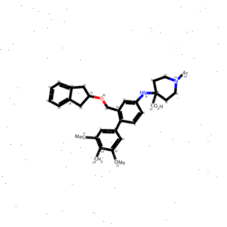 COc1cc(-c2ccc(NC3(C(=O)O)CCN(C(C)=O)CC3)cc2COC2Cc3ccccc3C2)cc(OC)c1C